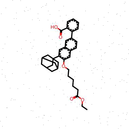 CCOC(=O)CCCCCOc1cc2ccc(-c3ccccc3C(=O)O)cc2cc1C12CC3CC(CC(C3)C1)C2